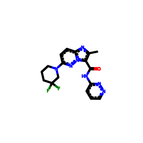 Cc1nc2ccc(N3CCCC(F)(F)C3)nn2c1C(=O)Nc1cccnn1